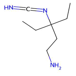 CCC(CC)(CCN)N=C=N